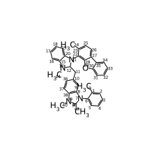 Cc1ccccc1N1c2cc(CC3N(C)c4ccccc4N3c3c(C)ccc4c3oc3ccccc34)ccc2N(C)[C@H]1C